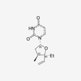 C=C[C@]1(CC)O[C@@H](n2ccc(=O)[nH]c2=O)C[C@@H]1C